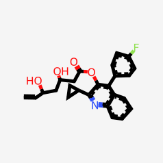 C=CC(O)CC(O)CC(=O)Oc1c(C2CC2)nc2ccccc2c1-c1ccc(F)cc1